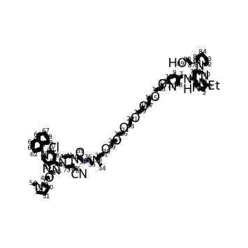 CCc1cnn2c(NCc3ccc(OCCOCCOCCOCCOCCOCCOCCN(C)C/C=C/C(=O)N4CCN(c5nc(OC[C@@H]6CCCN6C)nc6c5CCN(c5cccc7cccc(Cl)c57)C6)C[C@@H]4CC#N)nc3)cc(N3CCCC[C@H]3CCO)nc12